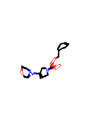 O=C(OCc1ccccc1)N1CCC(N2CCOCC2)CC1